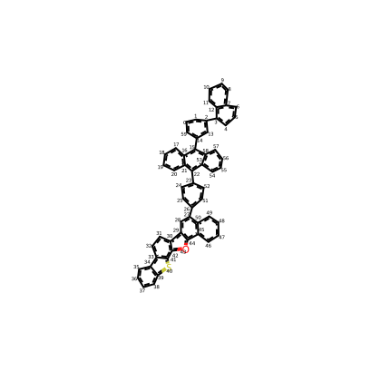 c1cc(-c2cccc3ccccc23)cc(-c2c3ccccc3c(-c3ccc(-c4cc5c6ccc7c8ccccc8sc7c6oc5c5ccccc45)cc3)c3ccccc23)c1